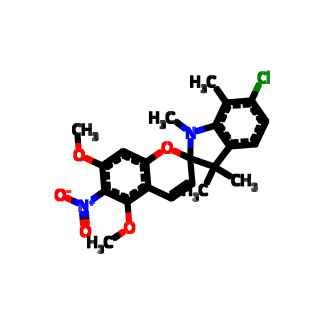 COc1cc2c(c(OC)c1[N+](=O)[O-])C=CC1(O2)N(C)c2c(ccc(Cl)c2C)C1(C)C